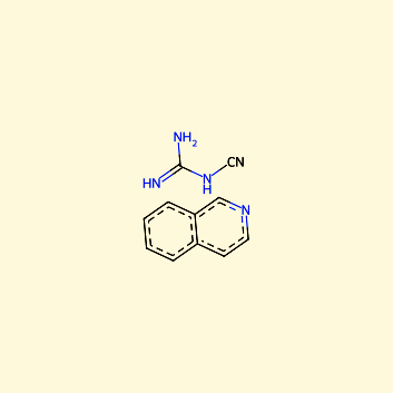 N#CNC(=N)N.c1ccc2cnccc2c1